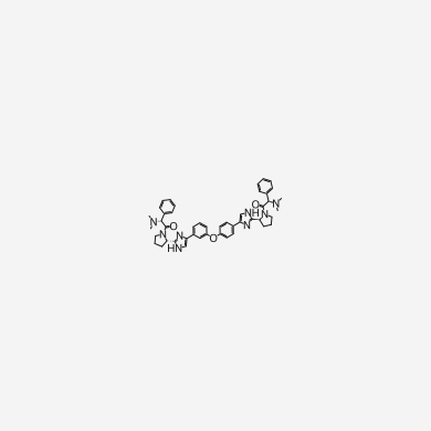 CN(C)[C@@H](C(=O)N1CCC[C@H]1c1nc(-c2ccc(Oc3cccc(-c4c[nH]c([C@@H]5CCCN5C(=O)[C@@H](c5ccccc5)N(C)C)n4)c3)cc2)c[nH]1)c1ccccc1